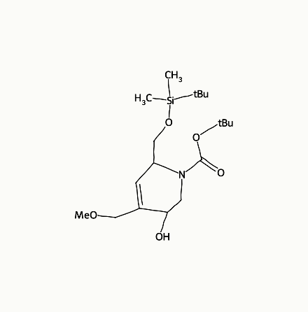 COCC1=CC(CO[Si](C)(C)C(C)(C)C)N(C(=O)OC(C)(C)C)CC1O